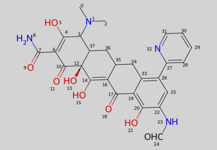 CN(C)C1C(O)=C(C(N)=O)C(=O)[C@@]2(O)C(O)=C3C(=O)c4c(O)c(NC=O)cc(-c5ccccn5)c4CC3CC12